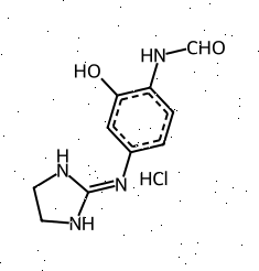 Cl.O=CNc1ccc(N=C2NCCN2)cc1O